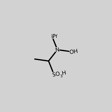 CC(C)N(O)C(C)S(=O)(=O)O